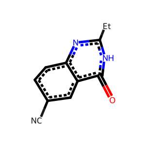 CCc1nc2ccc(C#N)cc2c(=O)[nH]1